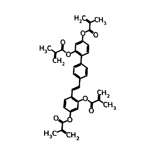 C=C(C)C(=O)Oc1ccc(/C=C/c2ccc(-c3ccc(OC(=O)C(=C)C)cc3OC(=O)C(=C)C)cc2)c(OC(=O)C(=C)C)c1